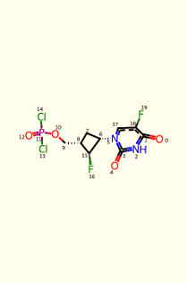 O=c1[nH]c(=O)n([C@H]2C[C@@H](COP(=O)(Cl)Cl)[C@@H]2F)cc1F